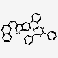 c1ccc(-c2nc(-c3ccccc3)nc(-c3ccccc3-c3ccc4[se]c5c(ccc6ccc7ccccc7c65)c4c3)n2)cc1